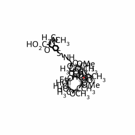 CC[C@H]1OC(=O)[C@H](C)[C@@H](O[C@H]2C[C@@](C)(OC)[C@@H](OC(=O)CCNCCSc3ccc4c(c3)c(=O)c(C(=O)O)cn4N(C)C)[C@H](C)O2)[C@H](C)[C@@H](O[C@@H]2O[C@H](C)C[C@H](N(C)C)[C@H]2O)[C@](C)(OC)C[C@@H](C)C(=O)C(C)[C@@H](O)[C@]1(C)O